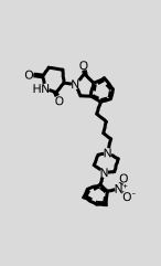 O=C1CCC(N2Cc3c(CCCCN4CCN(c5ccccc5[N+](=O)[O-])CC4)cccc3C2=O)C(=O)N1